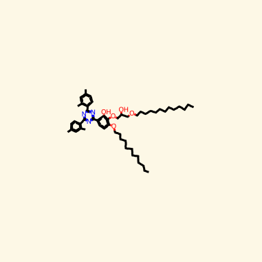 CCCCCCCCCCCCCOCC(O)COc1c(OCCCCCCCCCCCC)ccc(-c2nc(-c3ccc(C)cc3C)nc(-c3ccc(C)cc3C)n2)c1O